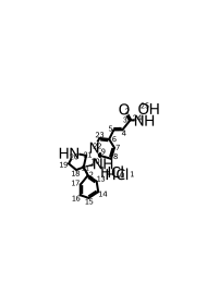 Cl.Cl.O=C(/C=C/c1ccc(N[C@@]2(c3ccccc3)CCNC2)nc1)NO